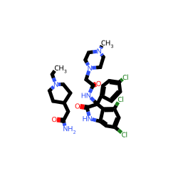 CCN1CCC(CC(N)=O)CC1.CN1CCN(CC(=O)NC2(c3ccc(Cl)cc3)C(=O)Nc3cc(Cl)cc(Cl)c32)CC1